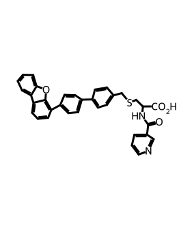 O=C(NC(CSCc1ccc(-c2ccc(-c3cccc4c3oc3ccccc34)cc2)cc1)C(=O)O)c1cccnc1